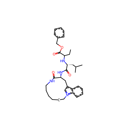 CCC(N[C@H](CC(C)C)C(=O)N[C@H]1Cc2cn(c3ccccc23)CCCCCCNC1=O)C(=O)OCc1ccccc1